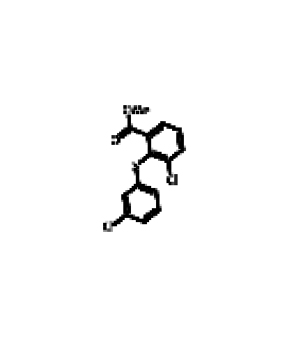 COC(=O)c1cccc(Cl)c1Sc1cccc(Cl)c1